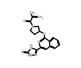 C=C(C)C(=O)N1CCC(Oc2nc(-c3n[nH]c(=O)[nH]3)cc3ccccc23)C1